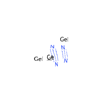 N#N.N#N.[Ge].[Ge].[Ge]